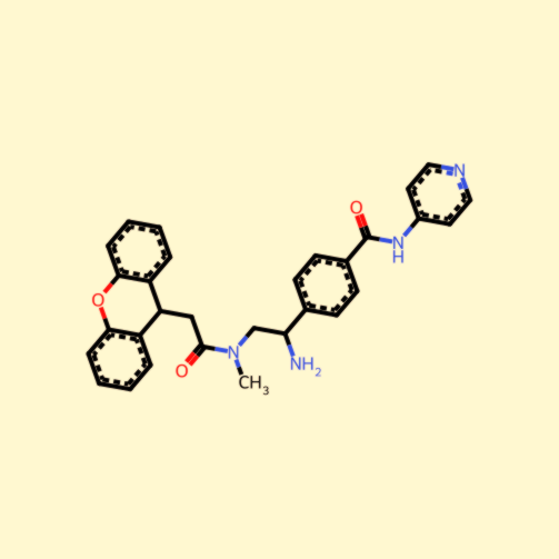 CN(CC(N)c1ccc(C(=O)Nc2ccncc2)cc1)C(=O)CC1c2ccccc2Oc2ccccc21